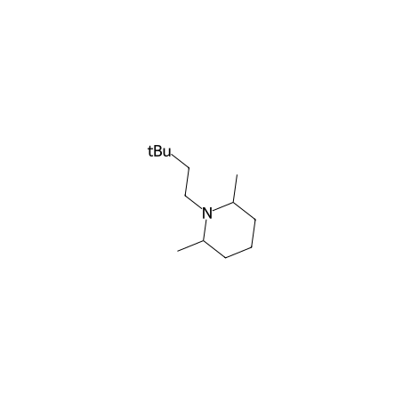 CC1CCCC(C)N1CCC(C)(C)C